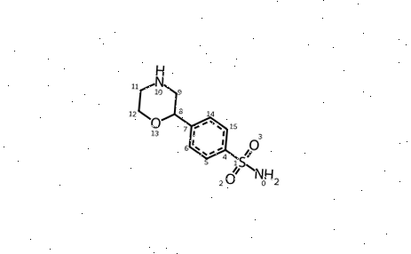 NS(=O)(=O)c1ccc(C2CNCCO2)cc1